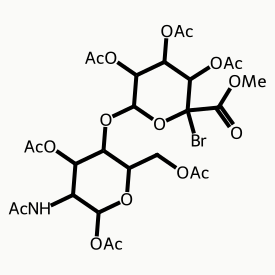 COC(=O)C1(Br)OC(OC2C(COC(C)=O)OC(OC(C)=O)C(NC(C)=O)C2OC(C)=O)C(OC(C)=O)C(OC(C)=O)C1OC(C)=O